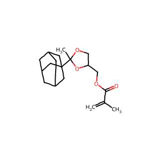 C=C(C)C(=O)OCC1COC(C)(C23CC4CC(CC(C4)C2)C3)O1